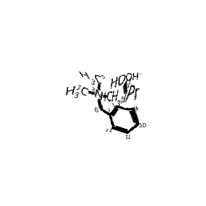 CC(C)O.C[N+](C)(C)Cc1ccccc1.[OH-]